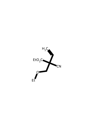 C=CC(C#N)(COCC)C(=O)OCC